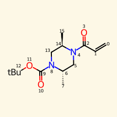 C=CC(=O)N1C[C@H](C)N(C(=O)OC(C)(C)C)C[C@H]1C